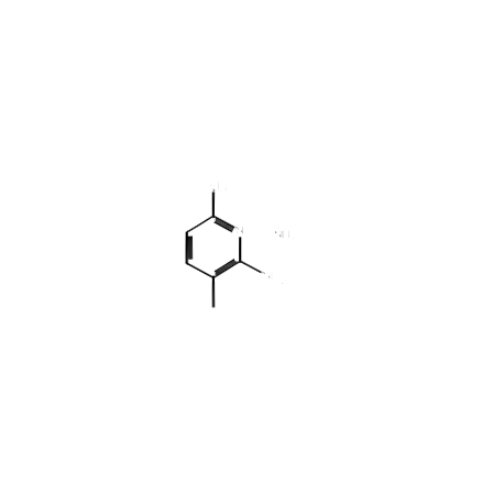 Cc1ccc(C(F)(F)F)nc1N.N